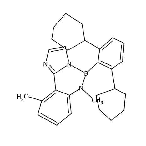 Cc1cccc2c1-c1nccn1B(c1c(C3CCCCC3)cccc1C1CCCCC1)N2C